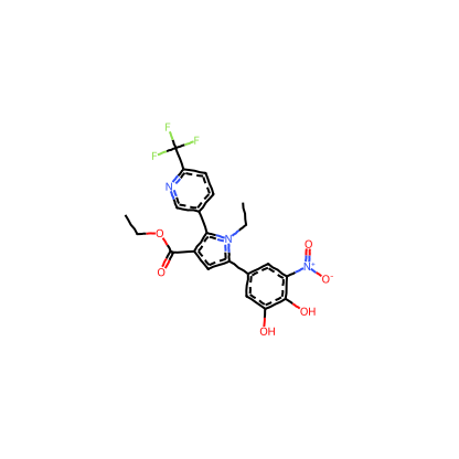 CCOC(=O)c1cc(-c2cc(O)c(O)c([N+](=O)[O-])c2)n(CC)c1-c1ccc(C(F)(F)F)nc1